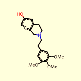 COc1cc(CCN2CCc3cc(O)ccc3C2)cc(OC)c1OC